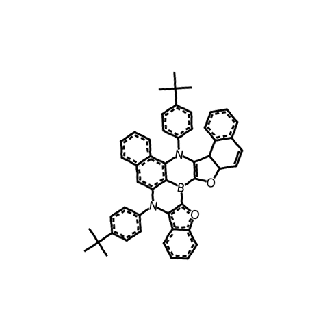 CC(C)(C)c1ccc(N2C3=C(OC4C=Cc5ccccc5C34)B3c4oc5ccccc5c4N(c4ccc(C(C)(C)C)cc4)c4cc5ccccc5c2c43)cc1